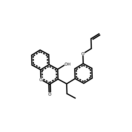 C=CCOc1cccc(C(CC)c2c(O)c3ccccc3oc2=O)c1